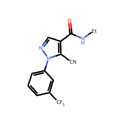 CCNC(=O)c1cnn(-c2cccc(C(F)(F)F)c2)c1C#N